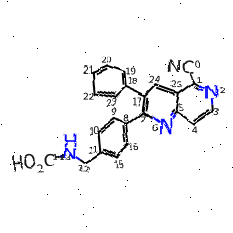 N#Cc1nccc2nc(-c3ccc(CNC(=O)O)cc3)c(-c3ccccc3)cc12